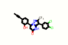 CC#Cc1ccc(-c2cc(=O)[nH]c3c(-c4ccc(Cl)c(Cl)c4)c(C(F)(F)F)nn23)c(O)c1